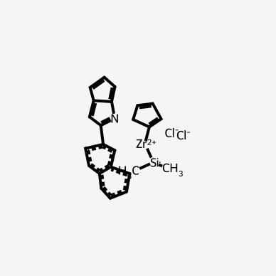 C1=CC2=CC(c3ccc4ccccc4c3)=NC2=C1.C[Si](C)[Zr+2][C]1=CC=CC1.[Cl-].[Cl-]